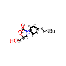 CC(C)(C)CCc1ccc(N2C[C@@H](CO)OC2=O)cc1